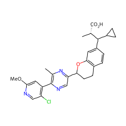 COc1cc(-c2ncc(C3CCc4ccc(C(C5CC5)[C@H](C)C(=O)O)cc4O3)nc2C)c(Cl)cn1